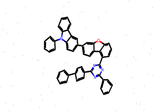 c1ccc(-c2ccc(-c3nc(-c4ccccc4)nc(-c4cccc5oc6cc(-c7ccc8c(c7)c7ccccc7n8-c7ccccc7)ccc6c45)n3)cc2)cc1